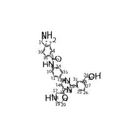 NCc1ccc(C(=O)Nc2ccc(-c3cc(C4CNCCO4)nc(-c4cccc(CO)c4)n3)cc2)cc1